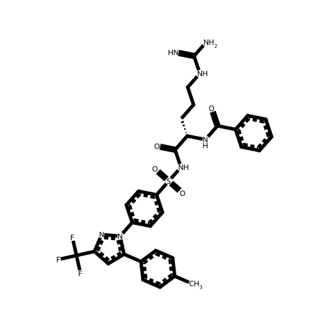 Cc1ccc(-c2cc(C(F)(F)F)nn2-c2ccc(S(=O)(=O)NC(=O)[C@H](CCCNC(=N)N)NC(=O)c3ccccc3)cc2)cc1